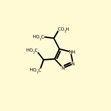 O=C(O)C(C(=O)O)c1nn[nH]c1C(C(=O)O)C(=O)O